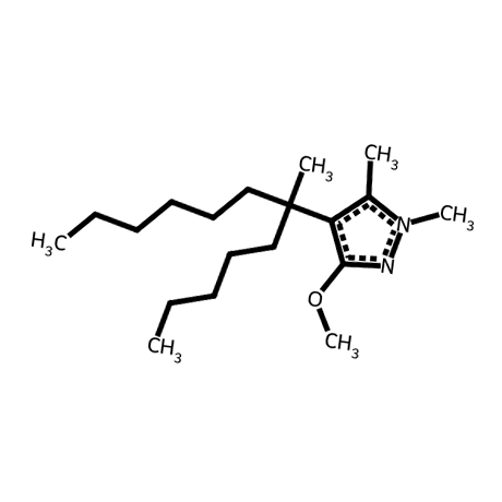 CCCCCCC(C)(CCCCC)c1c(OC)nn(C)c1C